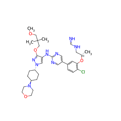 COCC(C)(C)COc1nn([C@H]2CC[C@H](N3CCOCC3)CC2)cc1Nc1ncc(-c2ccc(Cl)c(O[C@@H](C)CNC=N)c2)cn1